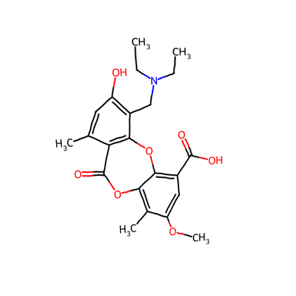 CCN(CC)Cc1c(O)cc(C)c2c1Oc1c(C(=O)O)cc(OC)c(C)c1OC2=O